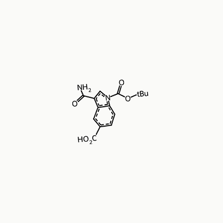 CC(C)(C)OC(=O)n1cc(C(N)=O)c2cc(C(=O)O)ccc21